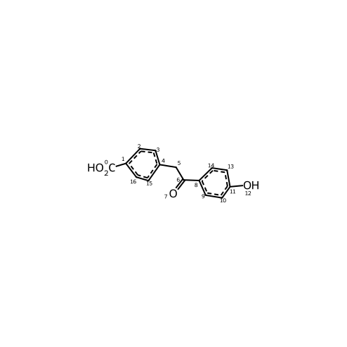 O=C(O)c1ccc(CC(=O)c2ccc(O)cc2)cc1